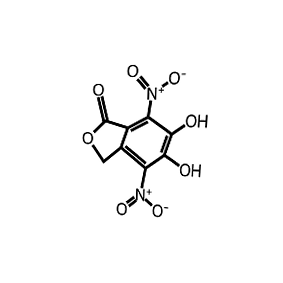 O=C1OCc2c1c([N+](=O)[O-])c(O)c(O)c2[N+](=O)[O-]